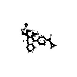 CCn1ncc2c(NC3CCOCC3)c(CN3CCN(C(=O)C4CC4)CC3)c(C)nc21